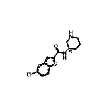 O=C(N[C@@H]1CCCNC1)c1cc2cc(Cl)ccc2s1